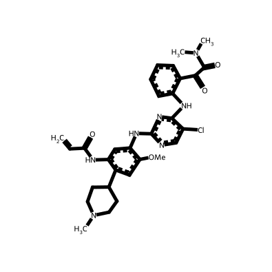 C=CC(=O)Nc1cc(Nc2ncc(Cl)c(Nc3ccccc3C(=O)C(=O)N(C)C)n2)c(OC)cc1C1CCN(C)CC1